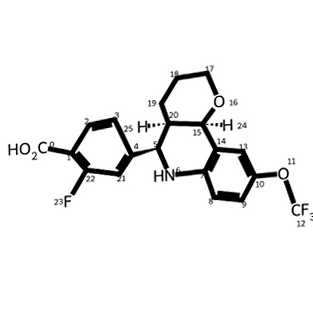 O=C(O)c1ccc([C@@H]2Nc3ccc(OC(F)(F)F)cc3[C@@H]3OCCC[C@H]23)cc1F